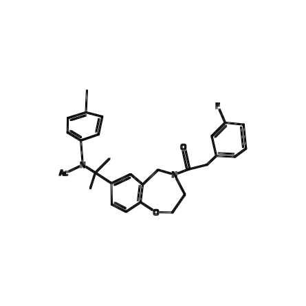 CC(=O)N(c1ccc(C)cc1)C(C)(C)c1ccc2c(c1)CN(C(=O)Cc1cccc(F)c1)CCO2